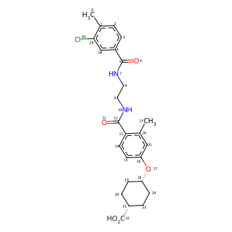 Cc1ccc(C(=O)NCCNC(=O)c2ccc(O[C@H]3CC[C@@H](C(=O)O)CC3)cc2C)cc1Cl